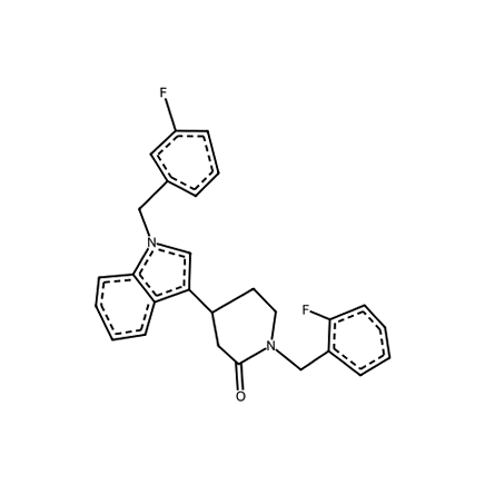 O=C1CC(c2cn(Cc3cccc(F)c3)c3ccccc23)CCN1Cc1ccccc1F